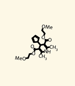 COCCOC(=O)C1=C(C)NC(C)=C(C(=O)OCCOC)C1C1C=CC=C1